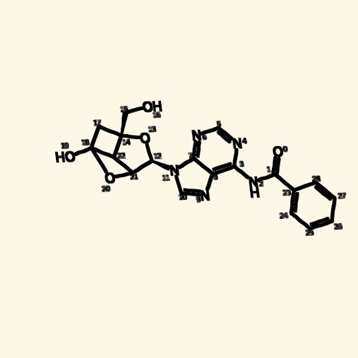 O=C(Nc1ncnc2c1ncn2[C@@H]1O[C@@]2(CO)CC3(O)OC1C32)c1ccccc1